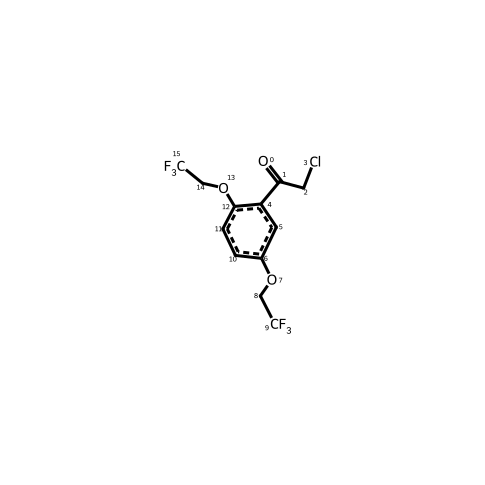 O=C(CCl)c1cc(OCC(F)(F)F)ccc1OCC(F)(F)F